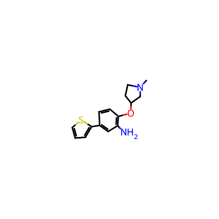 CN1CCC(Oc2ccc(-c3cccs3)cc2N)C1